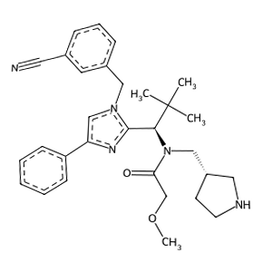 COCC(=O)N(C[C@H]1CCNC1)[C@@H](c1nc(-c2ccccc2)cn1Cc1cccc(C#N)c1)C(C)(C)C